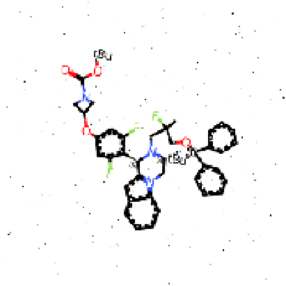 C[C@@H]1Cn2c(cc3ccccc32)[C@@H](c2c(F)cc(OC3CN(C(=O)OC(C)(C)C)C3)cc2F)N1CC(C)(F)CO[Si](c1ccccc1)(c1ccccc1)C(C)(C)C